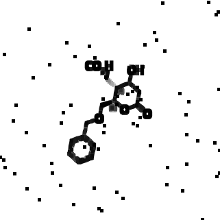 O=C(O)C[C@@H]1C(O)CC(=O)O[C@H]1COCc1ccccc1